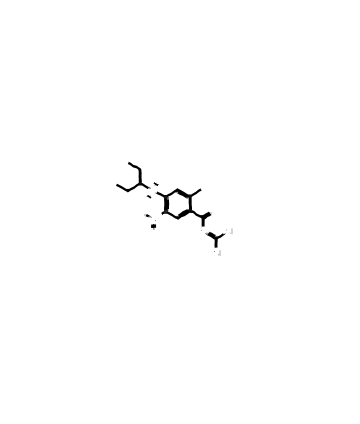 CCC(CC)S(=O)(=O)c1cc(C)c(C(=O)N=C(N)N)cc1[N+](=O)[O-]